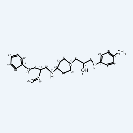 Cc1ccc(OCC(O)CN2CCC(NCC(COc3ccccc3)N=O)CC2)cc1